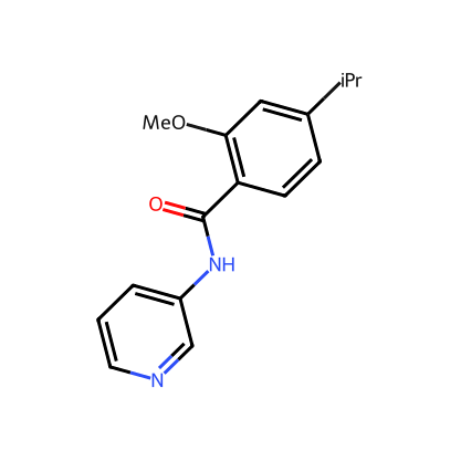 COc1cc(C(C)C)ccc1C(=O)Nc1cccnc1